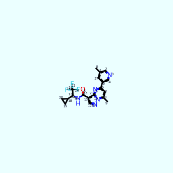 Cc1cncc(-c2cc(C)n3ncc(C(=O)N[C@@H](C4CC4)C(F)(F)F)c3n2)c1